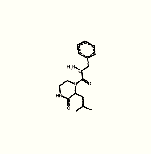 CC(C)CC1C(=O)NCCN1C(=O)[C@@H](N)Cc1ccccc1